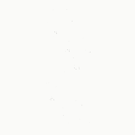 O=c1[nH]c2ccc(Cl)cc2cc1CNc1nc(-c2ccccn2)cs1